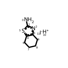 Nc1nc2c(s1)CCCC2.[H+].[I-]